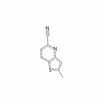 Cc1cc2nc(C#N)ccc2s1